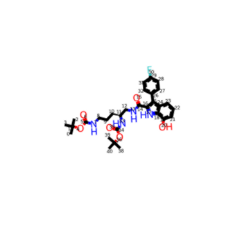 CC(C)(C)OC(=O)NCCC[C@@H](CNC(=O)c1[nH]c2c(O)cccc2c1-c1ccc(F)cc1)NC(=O)OC(C)(C)C